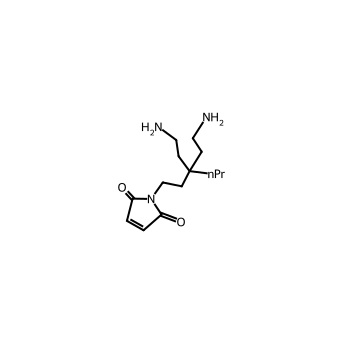 CCCC(CCN)(CCN)CCN1C(=O)C=CC1=O